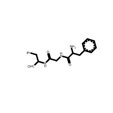 CC(C)CC(C=O)NC(=O)CNC(=O)C(N)Cc1ccccc1